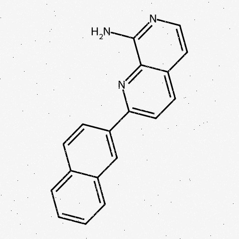 Nc1nccc2ccc(-c3ccc4ccccc4c3)nc12